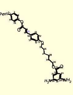 CCCCCc1ccc(OC(=O)/C=C/c2ccc(OCCCCCCOC(=O)c3cc(N)cc(N)c3)cc2)cc1